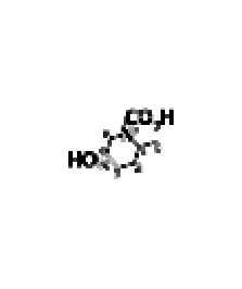 CC1CC[C@H](O)CN1C(=O)O